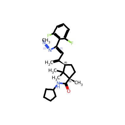 C=C(/C=C(\N=N/C)c1c(F)cccc1F)[C@H]1CC[C@](C)(C(=O)NC2CCCC2)C1(C)C